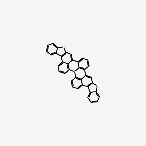 c1cc2c3c(c1)-c1cc4oc5ccccc5c4c4cccc(c14)B3c1cccc3c1c-2cc1oc2ccccc2c13